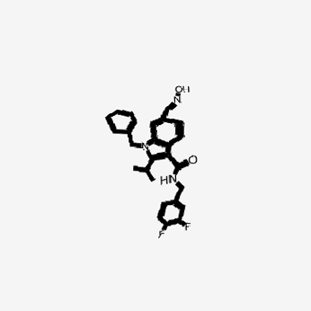 CC(C)c1c(C(=O)NCc2ccc(F)c(F)c2)c2ccc(C=NO)cc2n1Cc1ccccc1